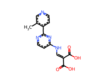 Cc1cnccc1-c1nccc(NC=C(C(=O)O)C(=O)O)n1